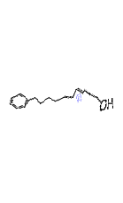 OC/C=C/CCCCCCc1ccccc1